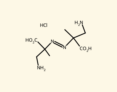 CC(CN)(N=NC(C)(CN)C(=O)O)C(=O)O.Cl